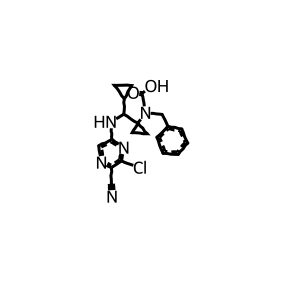 N#Cc1ncc(NC(C2CC2)C2(N(Cc3ccccc3)C(=O)O)CC2)nc1Cl